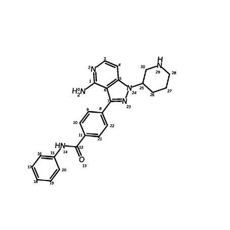 Nc1nccc2c1c(-c1ccc(C(=O)Nc3ccccc3)cc1)nn2C1CCCNC1